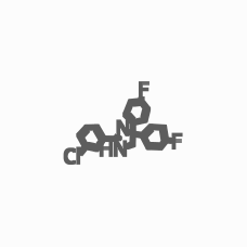 Fc1ccc(C2(c3ccc(F)cc3)CNC(c3cccc(Cl)c3)=N2)cc1